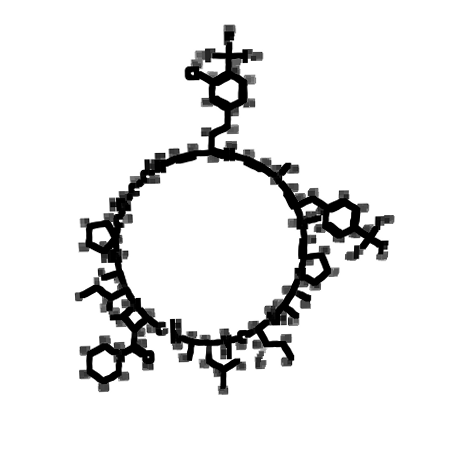 CC[C@H](C)[C@H]1C(C)NC2(CCCC2)CNCCNC=CC(CCc2ccc(C(F)(F)F)c(Cl)c2)=NC=CN(C)C=C(Cc2ccc(C(F)(F)F)cc2)N(C)C=C2CCCN2[C@@H](C)C(C)N[C@@H]([C@@H](C)CC)CN[C@@H](CC(C)C)C(C)NCC2[C@@H](C(=O)N3CCCCC3)C(C)N21